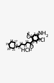 COc1cc(N)c(Cl)cc1C(=O)CCCCN1CCCCC1.Cl